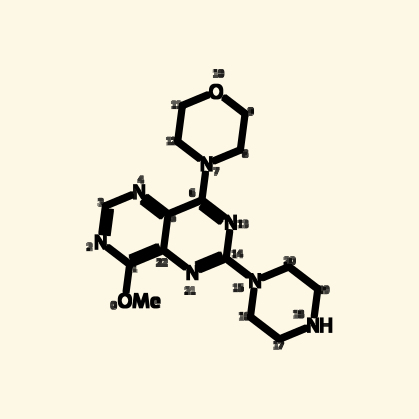 COc1ncnc2c(N3CCOCC3)nc(N3CCNCC3)nc12